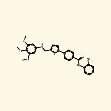 COc1cc(NCc2ccc(-c3ccc(C(=O)Nc4ccccc4N)cc3)s2)cc(OC)c1OC